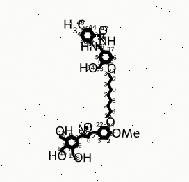 COc1ccc(-c2cc(-c3cc(CO)c(CO)c(CO)c3)no2)cc1OCCCCCCCCCOc1ccc(C2NC(=O)c3cc(C)ccc3N2)cc1CO